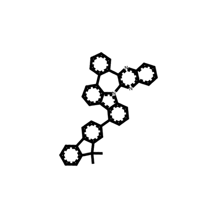 CC1(C)c2ccccc2-c2ccc(-c3cccc4c3c3cccc5c3n4-c3nc4ccccc4nc3-c3ccccc3-5)cc21